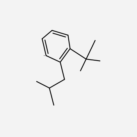 CC(C)Cc1[c]cccc1C(C)(C)C